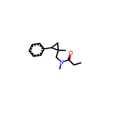 CCC(=O)N(C)CC1(C)CC1c1ccccc1